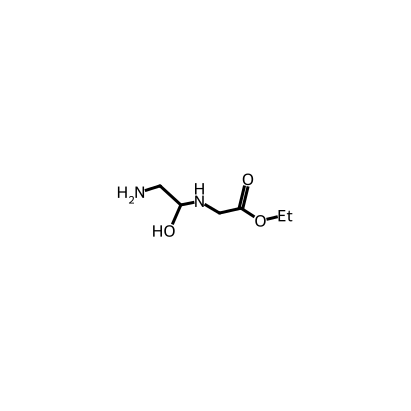 CCOC(=O)CNC(O)CN